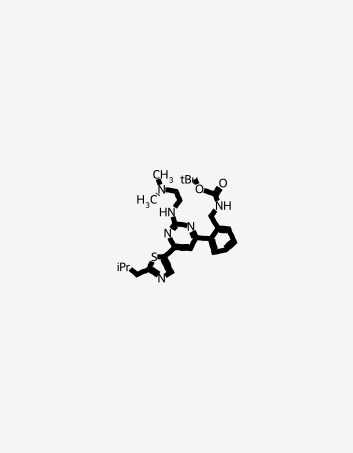 CC(C)Cc1ncc(-c2cc(-c3ccccc3CNC(=O)OC(C)(C)C)nc(NCCN(C)C)n2)s1